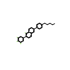 CCCCCc1ccc(-c2ccc3c(F)c(-c4cc(F)c(F)c(F)c4)ccc3c2)cc1